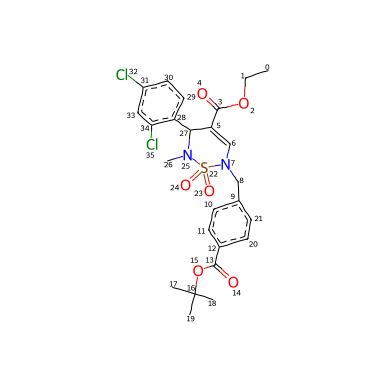 CCOC(=O)C1=CN(Cc2ccc(C(=O)OC(C)(C)C)cc2)S(=O)(=O)N(C)C1c1ccc(Cl)cc1Cl